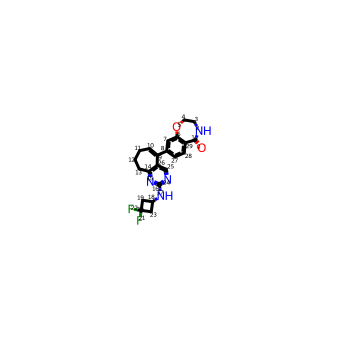 O=C1NCCOc2cc(C3=CCCCc4nc(NC5CC(F)(F)C5)ncc43)ccc21